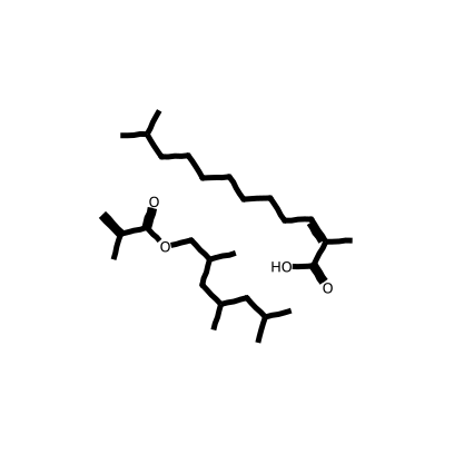 C=C(C)C(=O)OCC(C)CC(C)CC(C)C.CC(=CCCCCCCCC(C)C)C(=O)O